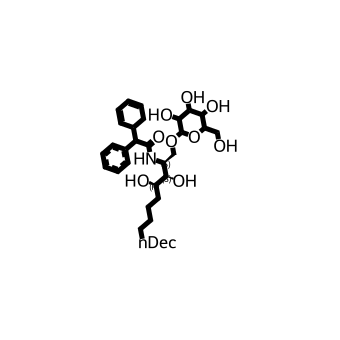 CCCCCCCCCCCCCC[C@@H](O)[C@@H](O)[C@H](COC1OC(CO)C(O)C(O)C1O)NC(=O)C(c1ccccc1)C1C=CC=CC1